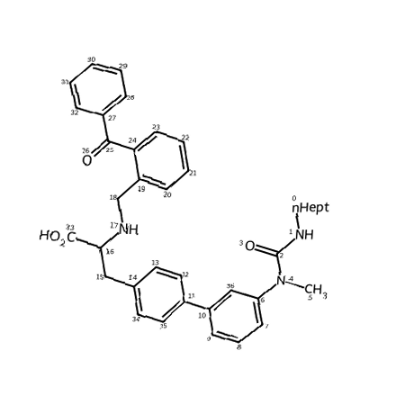 CCCCCCCNC(=O)N(C)c1cccc(-c2ccc(CC(NCc3ccccc3C(=O)c3ccccc3)C(=O)O)cc2)c1